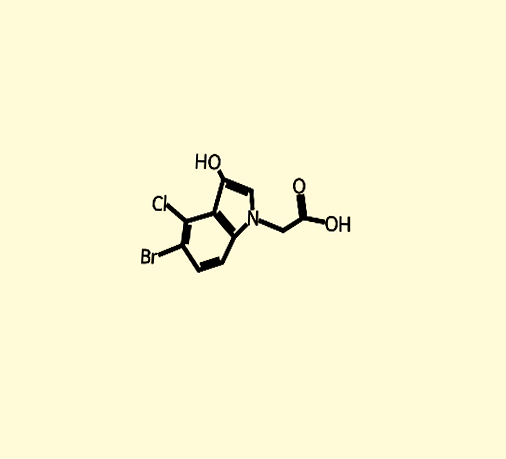 O=C(O)Cn1cc(O)c2c(Cl)c(Br)ccc21